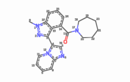 Cn1nc(-c2cnc3ccccn23)c2c(C(=O)N3CCCCCC3)cccc21